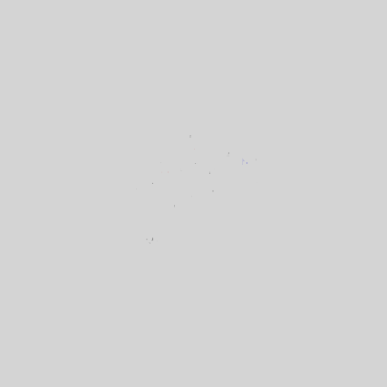 COc1ccc2oc(C(=O)c3cccnc3)[c]c2c1